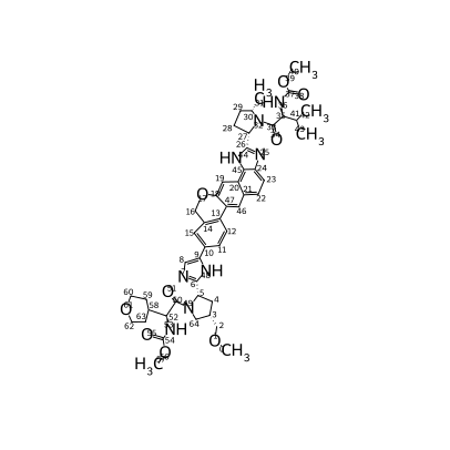 COC[C@H]1C[C@@H](c2ncc(-c3ccc4c(c3)COc3cc5c(ccc6nc([C@@H]7CC[C@H](C)N7C(=O)[C@@H](NC(=O)OC)C(C)C)[nH]c65)cc3-4)[nH]2)N(C(=O)[C@@H](NC(=O)OC)C2CCOCC2)C1